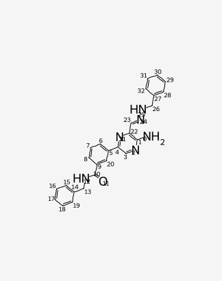 Nc1ncc(-c2cccc(C(=O)NCc3ccccc3)c2)nc1/C=N/NCc1ccccc1